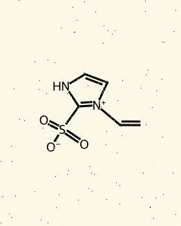 C=C[n+]1cc[nH]c1S(=O)(=O)[O-]